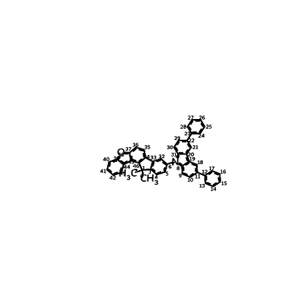 CC1(C)c2ccc(-n3c4ccc(-c5ccccc5)cc4c4cc(-c5ccccc5)ccc43)cc2-c2ccc3oc4ccccc4c3c21